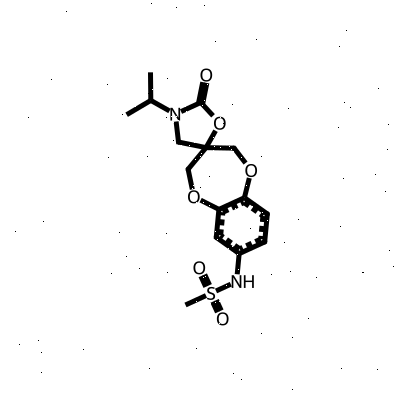 CC(C)N1CC2(COc3ccc(NS(C)(=O)=O)cc3OC2)OC1=O